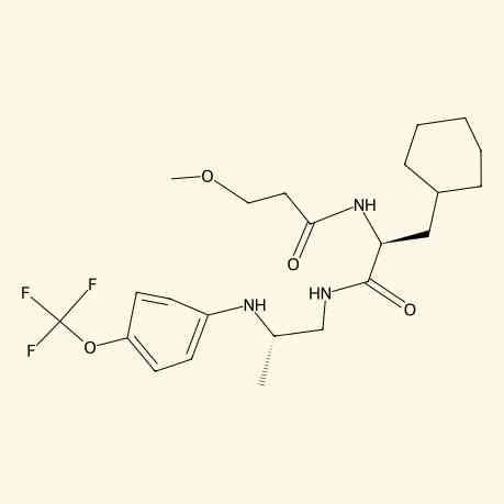 COCCC(=O)N[C@@H](CC1CCCCC1)C(=O)NC[C@H](C)Nc1ccc(OC(F)(F)F)cc1